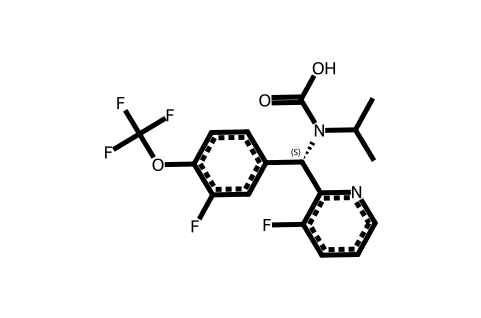 CC(C)N(C(=O)O)[C@@H](c1ccc(OC(F)(F)F)c(F)c1)c1ncccc1F